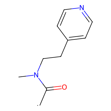 [CH2]C(=O)N(C)CCc1ccncc1